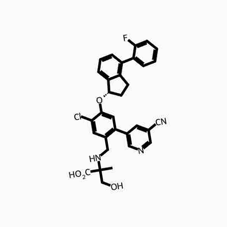 CC(CO)(NCc1cc(Cl)c(O[C@H]2CCc3c(-c4ccccc4F)cccc32)cc1-c1cncc(C#N)c1)C(=O)O